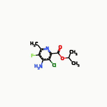 Cc1nc(C(=O)OC(C)C)c(Cl)c(N)c1F